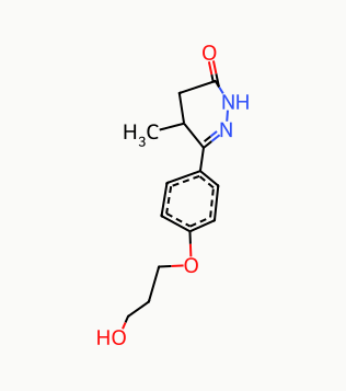 CC1CC(=O)NN=C1c1ccc(OCCCO)cc1